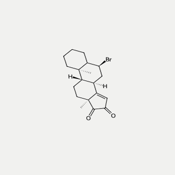 C[C@]12CC[C@H]3[C@@H](C[C@H](Br)C4CCCC[C@@]43C)C1=CC(=O)C2=O